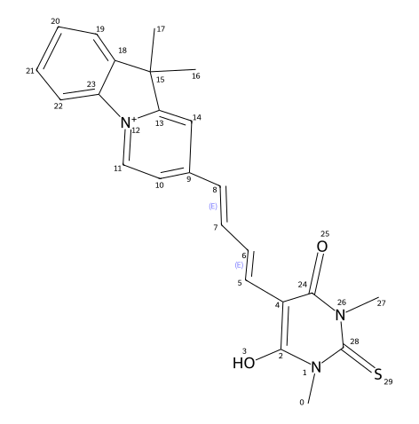 Cn1c(O)c(/C=C/C=C/c2cc[n+]3c(c2)C(C)(C)c2ccccc2-3)c(=O)n(C)c1=S